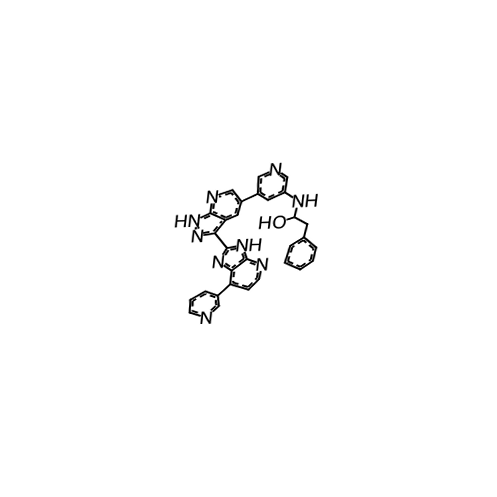 OC(Cc1ccccc1)Nc1cncc(-c2cnc3[nH]nc(-c4nc5c(-c6cccnc6)ccnc5[nH]4)c3c2)c1